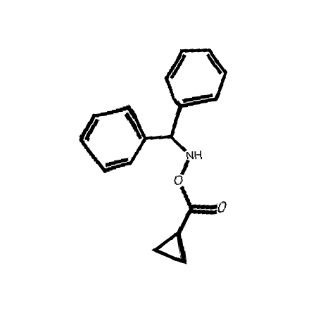 O=C(ONC(c1ccccc1)c1ccccc1)C1CC1